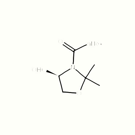 CCCCCCC(=O)N1[C@H](C=O)COC1(C)C